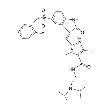 Cc1[nH]c(/C=C2\C(=O)Nc3ccc(S(=O)(=O)Cc4ccccc4F)cc32)c(C)c1C(=O)NCCN(C(C)C)C(C)C